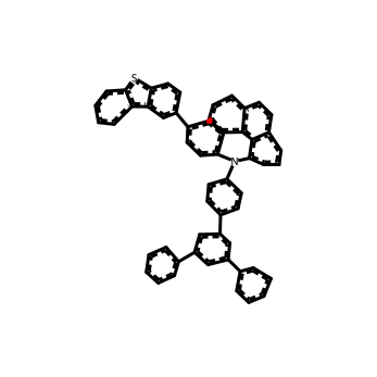 c1ccc(-c2cc(-c3ccccc3)cc(-c3ccc(N(c4ccc(-c5ccc6sc7ccccc7c6c5)cc4)c4cccc5ccc6ccccc6c45)cc3)c2)cc1